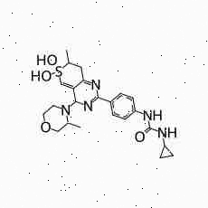 CC1COCCN1C1N=C(c2ccc(NC(=O)NC3CC3)cc2)N=C2CC(C)S(O)(O)C=C21